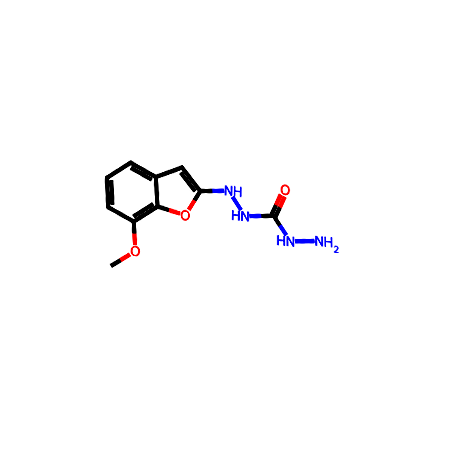 COc1cccc2cc(NNC(=O)NN)oc12